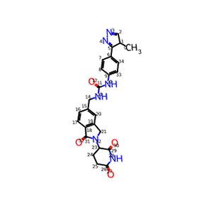 CC1C=NN=C1c1ccc(NC(=O)NCc2ccc3c(c2)CN(C2CCC(=O)NC2=O)C3=O)cc1